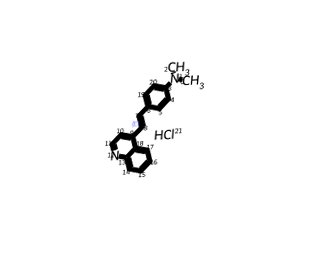 CN(C)c1ccc(/C=C/c2ccnc3ccccc23)cc1.Cl